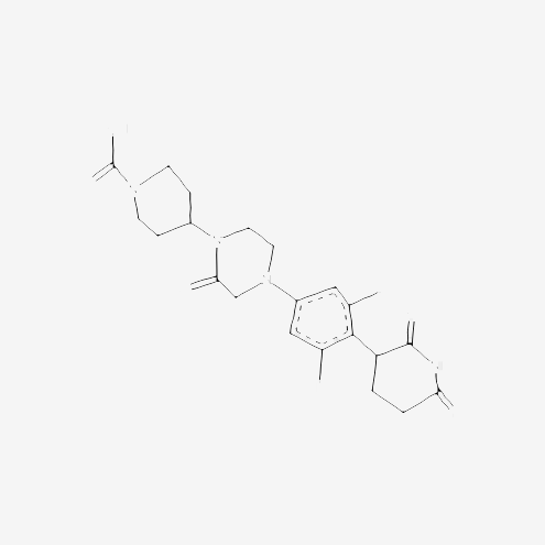 O=C1CCC(c2c(F)cc(N3CCN(C4CCN(C(=O)O)CC4)C(=O)C3)cc2F)C(=O)N1